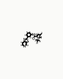 Cc1cc(C(=O)Nc2cccc(-c3nc4ccncc4s3)c2)n(C(C)(C)C)n1